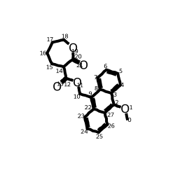 COc1c2ccccc2c(COC(=O)C2CCCCOC2=O)c2ccccc12